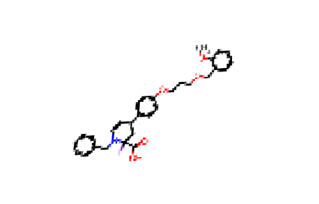 COc1ccccc1COCCCOc1ccc(C2C=CN(Cc3ccccc3)C(I)(C(=O)O)C2)cc1